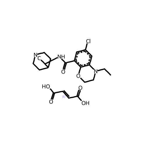 CCN1CCOc2c(C(=O)NC3CN4CCC3CC4)cc(Cl)cc21.O=C(O)/C=C/C(=O)O